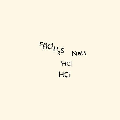 Cl.Cl.Cl.S.[Fe].[NaH]